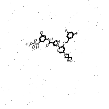 CS(=O)(=O)Nc1cc(Cl)cc(NC(=O)c2cnn(-c3ncc(N4CC5(COC5)C4)cc3OCc3cc(F)cc(F)c3)c2)c1